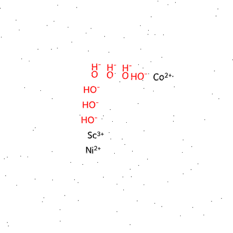 [Co+2].[Ni+2].[OH-].[OH-].[OH-].[OH-].[OH-].[OH-].[OH-].[Sc+3]